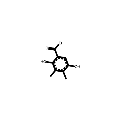 CCC(=O)c1cc(O)c(C)c(C)c1O